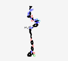 CN(CCCCCCOc1ccc(Oc2ccc(N(Cc3ccccc3)C(=O)CCl)cc2)cc1)C[C@H]1CC[C@H](n2cc(NC(=O)c3coc(-c4ccnc(NCC5CC5)c4)n3)c(C(F)F)n2)CC1